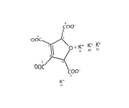 O=C([O-])C1=C(C(=O)[O-])C(C(=O)[O-])OC1C(=O)[O-].[K+].[K+].[K+].[K+]